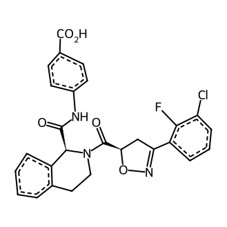 O=C(O)c1ccc(NC(=O)[C@@H]2c3ccccc3CCN2C(=O)[C@H]2CC(c3cccc(Cl)c3F)=NO2)cc1